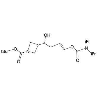 CC(C)N(C(=O)O/C=C/CC(O)C1CN(C(=O)OC(C)(C)C)C1)C(C)C